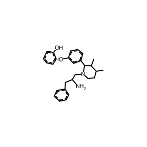 CC1CCN(CC(N)Cc2ccccc2)C(c2cccc(O)c2)C1C.Oc1ccccc1